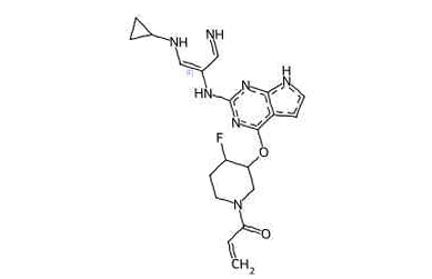 C=CC(=O)N1CCC(F)C(Oc2nc(N/C(C=N)=C/NC3CC3)nc3[nH]ccc23)C1